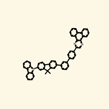 CC1(C)c2cc(-c3cccc(-c4ccc(-c5cnc6c7ccccc7c7ccccc7c6n5)cc4)c3)ccc2-c2ccc(-n3c4ccccc4c4ccccc43)cc21